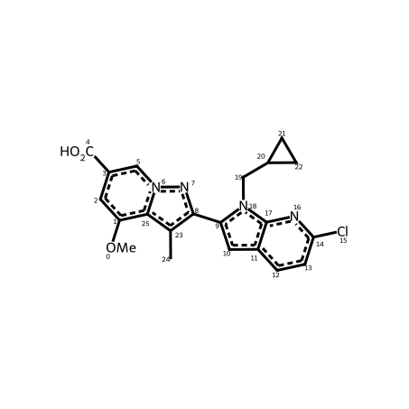 COc1cc(C(=O)O)cn2nc(-c3cc4ccc(Cl)nc4n3CC3CC3)c(C)c12